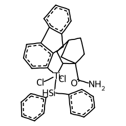 NC(=O)C12CCC(C[CH]1[Ti]([Cl])([Cl])([c]1cccc3c1Cc1ccccc1-3)[SiH](c1ccccc1)c1ccccc1)C2